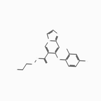 O=C(NOCCO)c1cn2ccnc2cc1Nc1ccc(Br)cc1Cl